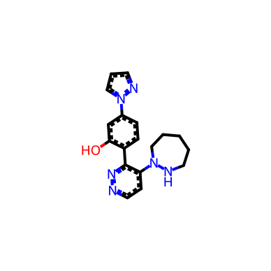 Oc1cc(-n2cccn2)ccc1-c1nnccc1N1CCCCCN1